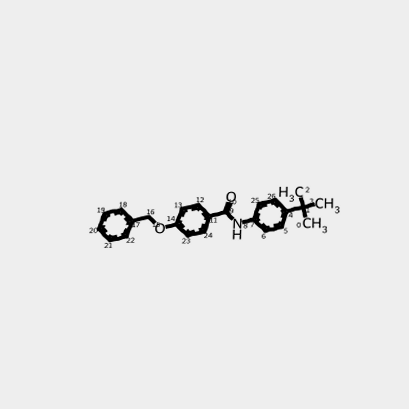 CC(C)(C)c1ccc(NC(=O)c2ccc(OCc3ccccc3)cc2)cc1